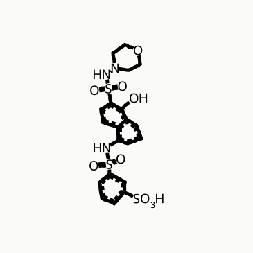 O=S(=O)(O)c1cccc(S(=O)(=O)Nc2cccc3c(O)c(S(=O)(=O)NN4CCOCC4)ccc23)c1